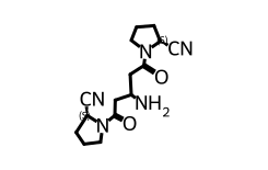 N#C[C@@H]1CCCN1C(=O)CC(N)CC(=O)N1CCC[C@H]1C#N